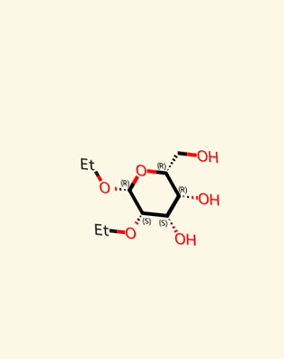 CCO[C@@H]1O[C@H](CO)[C@H](O)[C@H](O)[C@@H]1OCC